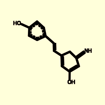 N=C1C=C(O)C=C(C=Cc2ccc(O)cc2)C1